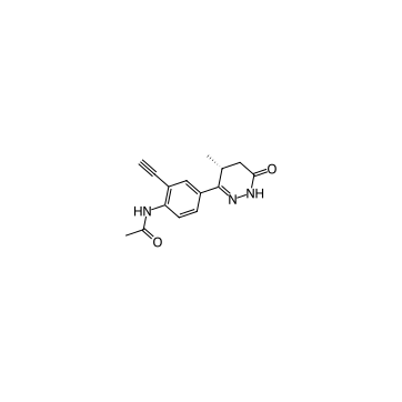 C#Cc1cc(C2=NNC(=O)C[C@H]2C)ccc1NC(C)=O